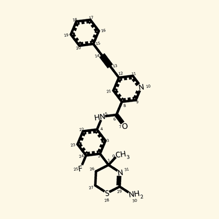 CC1(c2cc(NC(=O)c3cncc(C#Cc4ccccc4)c3)ccc2F)CCSC(N)=N1